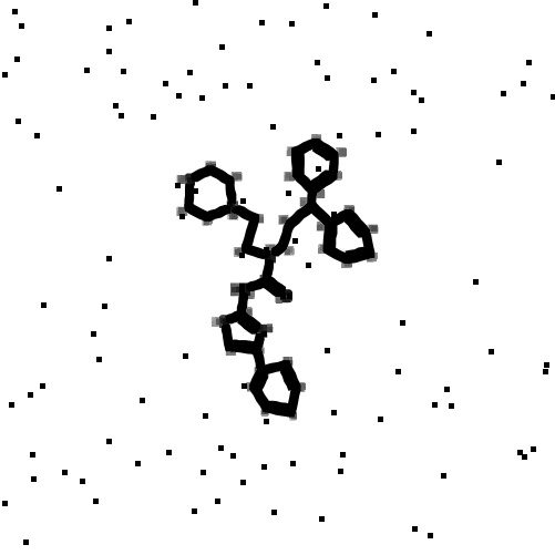 O=C(Nc1nc(-c2ccccc2)cs1)N(CCC(c1ccccc1)c1ccccc1)CCN1CCSCC1